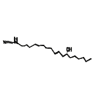 CCCCCC[C@@H](O)CCCCCCCCCCCNC#N